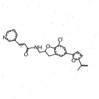 C=C(C)c1ccc(-c2cc(Cl)c3c(c2)CC(CNC(=O)/C=C/c2cccnc2)O3)o1